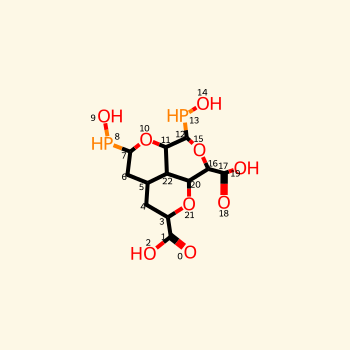 O=C(O)C1CC2CC(PO)OC3C(PO)OC(C(=O)O)C(O1)C23